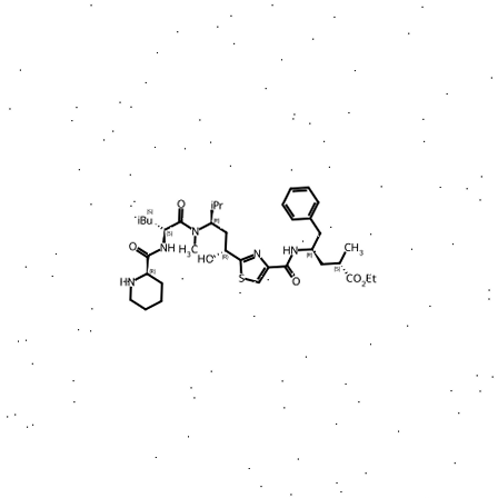 CCOC(=O)[C@@H](C)C[C@H](Cc1ccccc1)NC(=O)c1csc([C@H](O)C[C@H](C(C)C)N(C)C(=O)[C@@H](NC(=O)[C@H]2CCCCN2)[C@@H](C)CC)n1